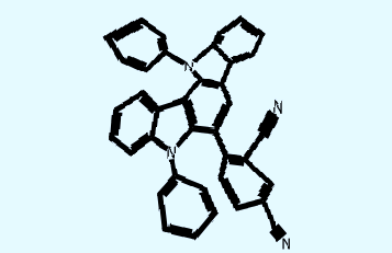 N#Cc1ccc(-c2cc3c4ccccc4n(-c4ccccc4)c3c3c4ccccc4n(-c4ccccc4)c23)c(C#N)c1